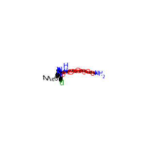 COc1ccc2c(c1)C(c1ccc(Cl)cc1)=N[C@@H](CC(=O)NCCOCCOCCOCCOCCOCCN)c1nnc(C)n1-2